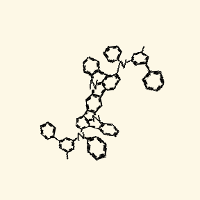 Cc1cc(-c2ccccc2)cc(N(c2ccccc2)c2ccc3c4cc5c(cc4n4c6ccccc6c2c34)c2ccc(N(c3ccccc3)c3cc(C)cc(-c4ccccc4)c3)c3c4ccccc4n5c23)c1